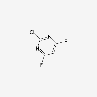 Fc1cc(F)nc(Cl)n1